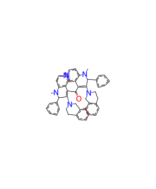 CN1c2ccncc2C(C(=O)C2=C(N3CCc4ccccc4C3)C(c3ccccc3)N(C)c3ccncc32)=C(N2CCc3ccccc3C2)C1c1ccccc1